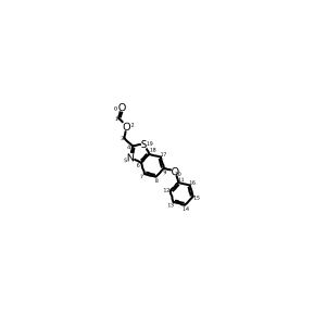 O=COCc1nc2ccc(Oc3ccccc3)cc2s1